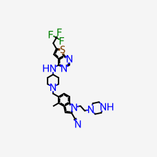 Cc1c(CN2CCC(Nc3ncnc4sc(CC(F)(F)F)cc34)CC2)ccc2c1cc(C#N)n2CCN1CCNCC1